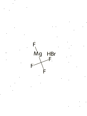 Br.[F][Mg][C](F)(F)F